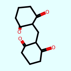 O=C1CCCC(=O)C1CC1C(=O)CCCC1=O